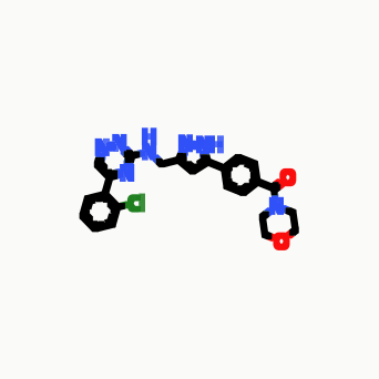 O=C(c1ccc(-c2cc(CNc3nncc(-c4ccccc4Cl)n3)n[nH]2)cc1)N1CCOCC1